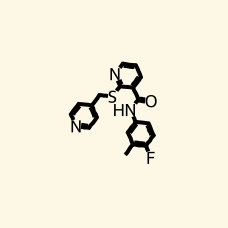 Cc1cc(NC(=O)c2cccnc2SCc2ccncc2)ccc1F